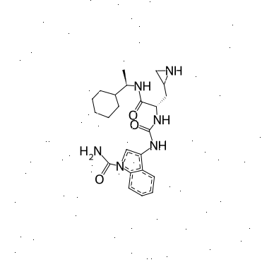 C[C@@H](NC(=O)[C@H](CC1CN1)NC(=O)Nc1cn(C(N)=O)c2ccccc12)C1CCCCC1